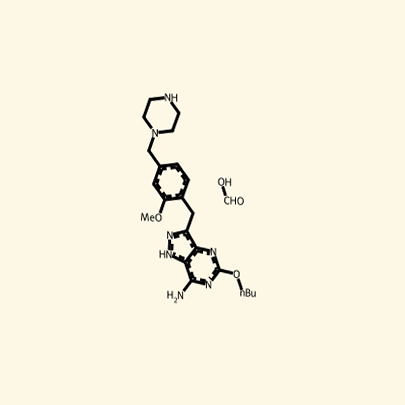 CCCCOc1nc(N)c2[nH]nc(Cc3ccc(CN4CCNCC4)cc3OC)c2n1.O=CO